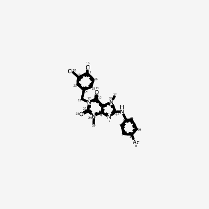 CC(=O)c1ccc(Nc2nc3c(c(=O)n(Cc4ccc(Cl)c(Cl)c4)c(=O)n3C)n2C)cc1